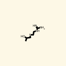 CC(O)CSCCNC(=N)N